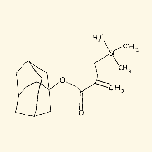 C=C(C[Si](C)(C)C)C(=O)OC12CC3CC(CC(C3)C1)C2